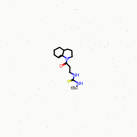 CC(C)(C)NC(=S)NCCC(=O)N1CCCC2CCCC=C21